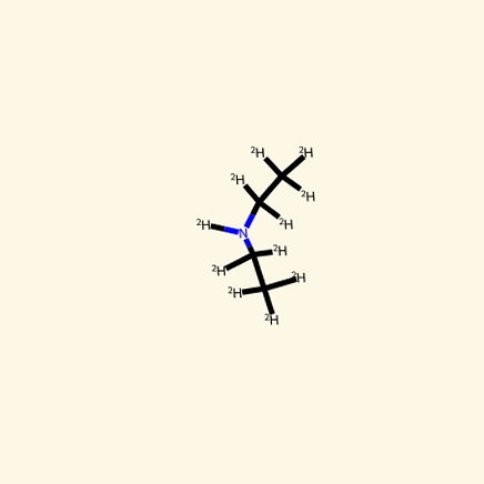 [2H]N(C([2H])([2H])C([2H])([2H])[2H])C([2H])([2H])C([2H])([2H])[2H]